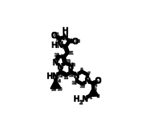 NC1CC1C(=O)N1CCN(c2cc(NC3CC3)n3ncc(/C=C4\NC(=O)NC4=O)c3n2)CC1